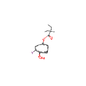 CCC(C)(C)C(=O)Oc1ccc(O)c(I)c1